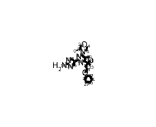 C[C@H]1COCCN1c1nc(-c2cnc(N)nc2)nc2c1COC2(C)CCOc1ccccc1